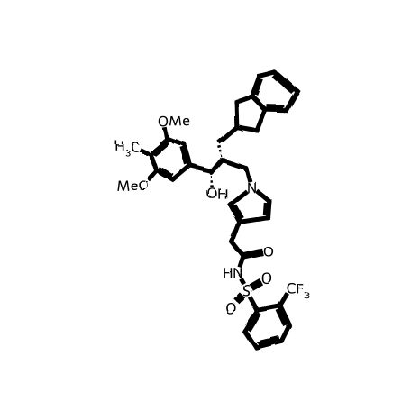 COc1cc([C@@H](O)[C@H](CC2Cc3ccccc3C2)Cn2ccc(CC(=O)NS(=O)(=O)c3ccccc3C(F)(F)F)c2)cc(OC)c1C